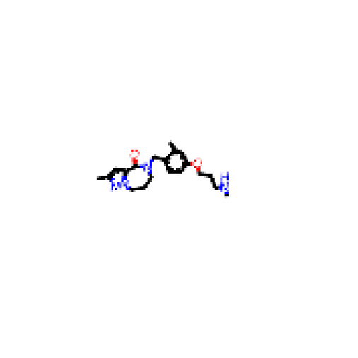 CNCCCOc1ccc(CN2CCCn3nc(C)cc3C2=O)c(C)c1